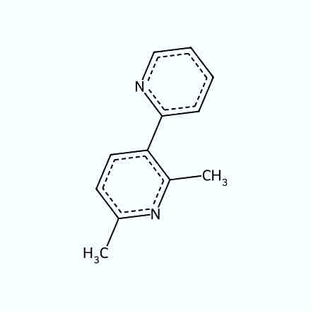 Cc1ccc(-c2ccccn2)c(C)n1